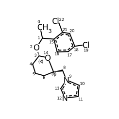 CC(O[C@H]1CCC[C@H](Cn2ccnc2)O1)c1ccc(Cl)cc1Cl